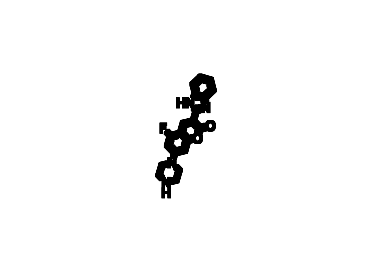 O=c1oc2cc(N3CCNCC3)cc(F)c2cc1-c1nc2ccccc2[nH]1